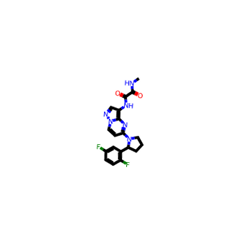 CNC(=O)C(=O)Nc1cnn2ccc(N3CCCC3c3cc(F)ccc3F)nc12